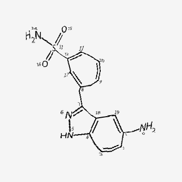 Nc1ccc2[nH]nc(-c3cccc(S(N)(=O)=O)c3)c2c1